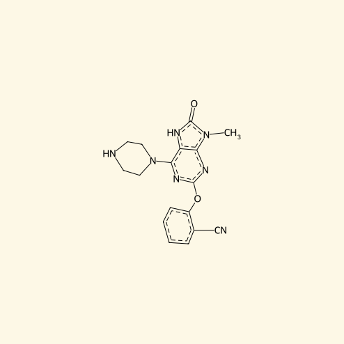 Cn1c(=O)[nH]c2c(N3CCNCC3)nc(Oc3ccccc3C#N)nc21